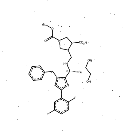 CC(C)(C)OC(=O)N1CC(CN[C@@H](c2nc(-c3cc(F)ccc3F)cn2Cc2ccccc2)C(C)(C)C)C(C(=O)O)C1.OCCO